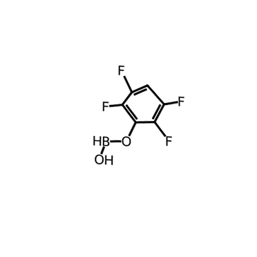 OBOc1c(F)c(F)cc(F)c1F